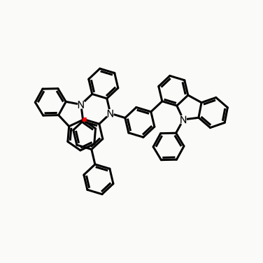 c1ccc(-c2cccc(N(c3cccc(-c4cccc5c6ccccc6n(-c6ccccc6)c45)c3)c3ccccc3-n3c4ccccc4c4ccccc43)c2)cc1